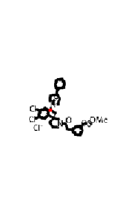 COOOc1cccc(CC(=O)N2CCC[C@](CC[N+]34CCC(c5ccccc5)(CC3)CC4)(c3ccc(Cl)c(Cl)c3)C2)c1.[Cl-]